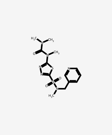 CN(C)C(=O)N(C)c1nnc(S(=O)(=O)N(C)Cc2cccnc2)s1